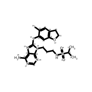 CC(C)S(=O)(=O)NCCCn1c(Sc2cc3c(cc2I)CCO3)nc2c(N)ncnc21